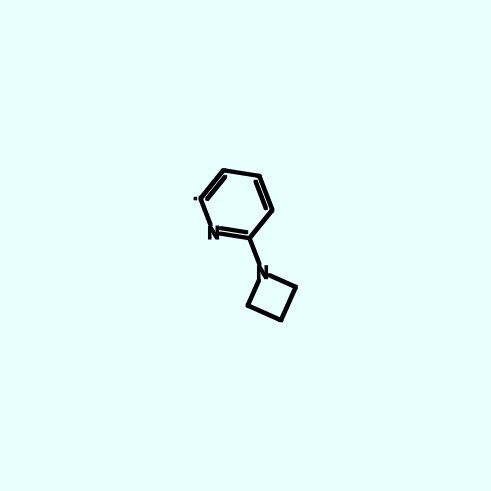 [c]1cccc(N2CCC2)n1